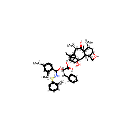 COc1ccc(C(NSc2ccccc2[N+](=O)[O-])O[C@H](Cc2ccccc2)C(=O)O[C@H]2C[C@@]3(O)CC4[C@@H]5COC5C[C@H](OC)[C@@]4(C)C(=O)[C@H](OC)C(=C2C)C3(C)C)c(OC)c1